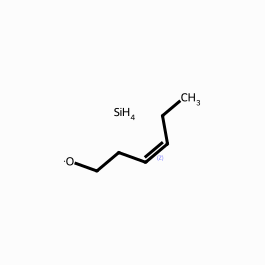 CC/C=C\CC[O].[SiH4]